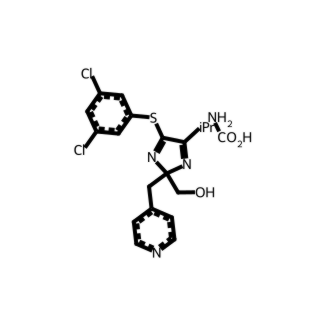 CC(C)C1=NC(CO)(Cc2ccncc2)N=C1Sc1cc(Cl)cc(Cl)c1.NC(=O)O